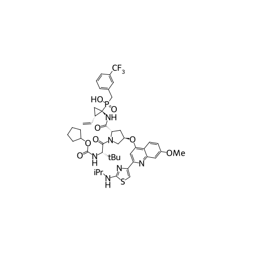 C=C[C@@H]1C[C@]1(NC(=O)[C@@H]1C[C@@H](Oc2cc(-c3csc(NC(C)C)n3)nc3cc(OC)ccc23)CN1C(=O)[C@@H](NC(=O)OC1CCCC1)C(C)(C)C)P(=O)(O)Cc1cccc(C(F)(F)F)c1